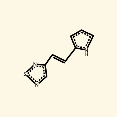 C(=C\c1ccc[nH]1)/c1cnsn1